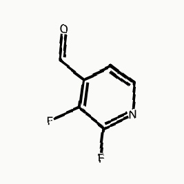 O=Cc1ccnc(F)c1F